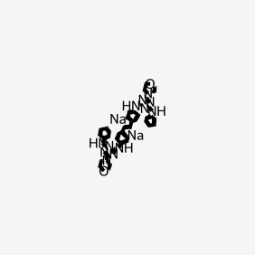 [Na][c]1cc(Nc2nc(Nc3ccccc3)nc(N3CCOCC3)n2)ccc1C=Cc1ccc(Nc2nc(Nc3ccccc3)nc(N3CCOCC3)n2)c[c]1[Na]